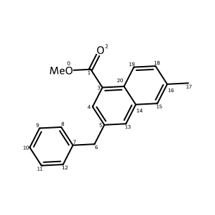 COC(=O)c1cc(Cc2ccccc2)cc2cc(C)ccc12